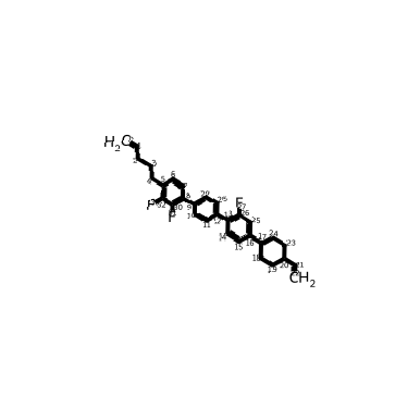 C=CCCCc1ccc(-c2ccc(-c3ccc(C4CCC(C=C)CC4)cc3F)cc2)c(F)c1F